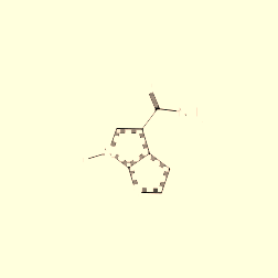 CCn1cc(C(N)=O)c2ccsc21